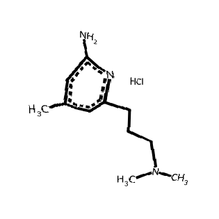 Cc1cc(N)nc(CCCN(C)C)c1.Cl